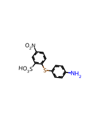 Nc1ccc(Sc2ccc([N+](=O)[O-])cc2S(=O)(=O)O)cc1